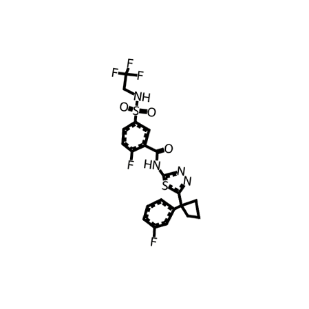 O=C(Nc1nnc(C2(c3cccc(F)c3)CCC2)s1)c1cc(S(=O)(=O)NCC(F)(F)F)ccc1F